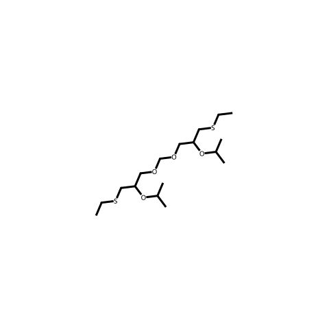 CCSCC(COCOCC(CSCC)OC(C)C)OC(C)C